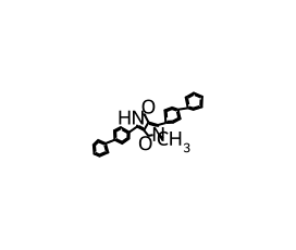 CN1C(=O)C2=C(c3ccc(-c4ccccc4)cc3)NC(=O)C2=C1c1ccc(-c2ccccc2)cc1